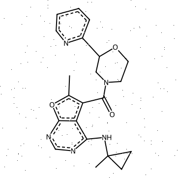 Cc1oc2ncnc(NC3(C)CC3)c2c1C(=O)N1CCOC(c2ccccn2)C1